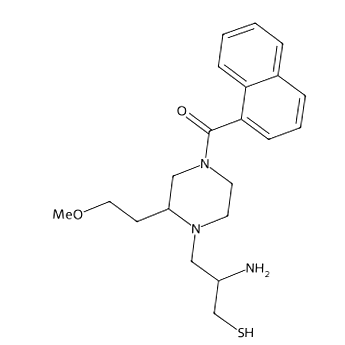 COCCC1CN(C(=O)c2cccc3ccccc23)CCN1CC(N)CS